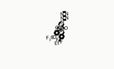 CCC(F)(F)c1ccc(CNC(=O)C2CN(c3cnc4nccnc4n3)CCN2S(=O)(=O)c2ccc(OC(F)(F)F)cc2)cc1